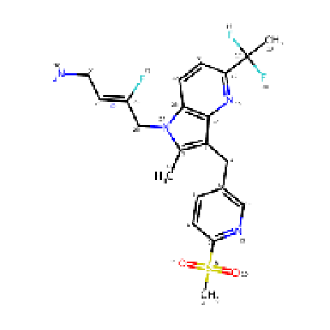 Cc1c(Cc2ccc(S(C)(=O)=O)nc2)c2nc(C(C)(F)F)ccc2n1C/C(F)=C/CN